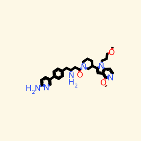 COCCCn1c(C2CCCN(C(=O)CC(N)Cc3ccc(-c4ccc(N)nc4)cc3)C2)cc2c(OC)nccc21